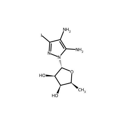 C[C@@H]1O[C@@H](n2nc(I)c(N)c2N)[C@H](O)[C@@H]1O